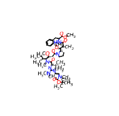 CC[C@H](C)[C@@H]([C@@H](CC(=O)N1CCC[C@H]1[C@H](OC)[C@@H](C)C(=O)NC(Cc1ccccc1)C(=O)OC)OC)N(C)C(=O)[C@@H](/N=C(/N(C)C)N(C)CCN(C)C(=O)OC(C)(C)C)C(C)C